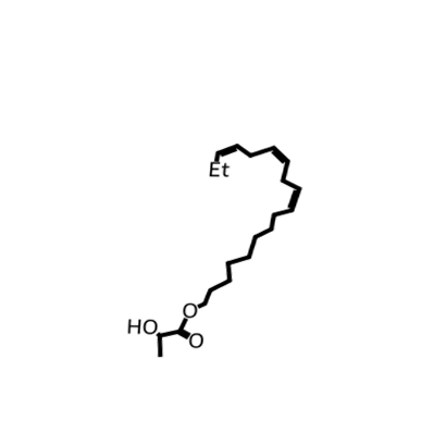 CC/C=C\C/C=C\C/C=C\CCCCCCCCOC(=O)C(C)O